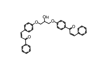 O=C(/C=C\c1ccc(OCC(O)COc2ccc(C(=O)/C=C\c3ccccc3)cc2)cc1)c1ccccc1